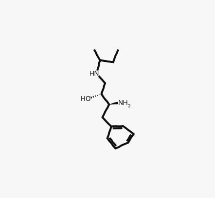 CCC(C)NC[C@@H](O)[C@@H](N)Cc1ccccc1